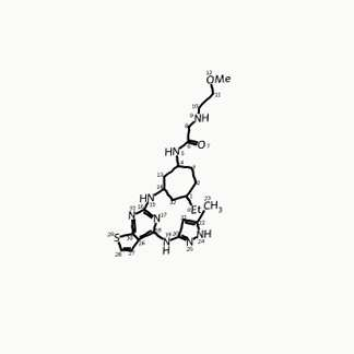 CCC1CCC(NC(=O)CNCCOC)CC(Nc2nc(Nc3cc(C)[nH]n3)c3ccsc3n2)C1